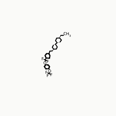 CCC[C@H]1CC[C@H]([C@H]2CC[C@H](CCc3ccc(C(F)(F)Oc4ccc(OC(F)(F)F)cc4)cc3)CC2)CC1